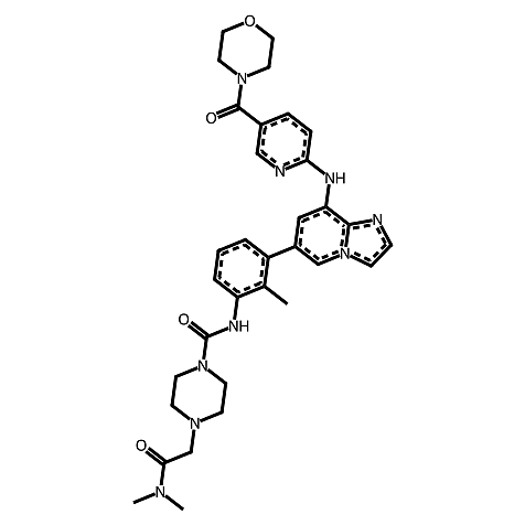 Cc1c(NC(=O)N2CCN(CC(=O)N(C)C)CC2)cccc1-c1cc(Nc2ccc(C(=O)N3CCOCC3)cn2)c2nccn2c1